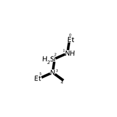 CCN[SiH2]N(C)CC